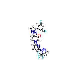 O=C1N2[C@H](c3cc(F)cc(F)c3)CCN2CC12CCN(c1cccc(-n3nccc3C(F)(F)F)n1)CC2